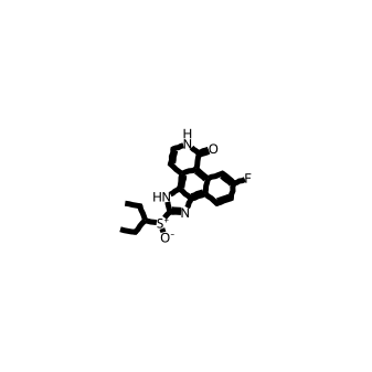 CCC(CC)[S+]([O-])c1nc2c3ccc(F)cc3c3c(=O)[nH]ccc3c2[nH]1